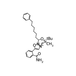 CC(C)(C)[Si](C)(C)OC(CCCCCCc1ccccc1)c1ncc(-c2ccccc2C(N)=O)o1